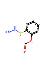 NNSc1ccccc1OC=O